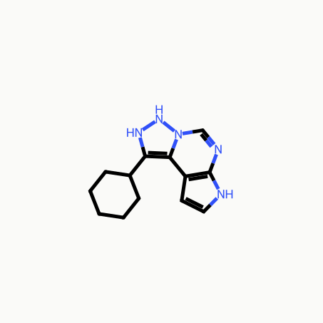 C1=Nc2[nH]ccc2C2=C(C3CCCCC3)NNN12